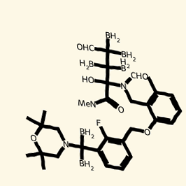 BC(B)(c1cccc(COc2cccc(C)c2CN(C=O)C(O)(C(=O)NC)C(B)(B)C(B)(B)C=O)c1F)N1CC(C)(C)OC(C)(C)C1